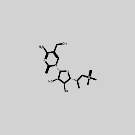 C=C1N=C(N)C(CO)=CN1[C@@H]1O[C@H](C(C)CP(=C)(C)C)[C@@H](O)[C@H]1O